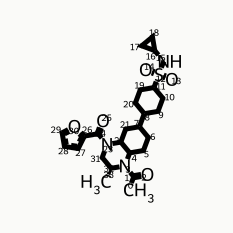 CC(=O)N1C2CCC(C3CCC(S(=O)(=O)NC4CC4)CC3)CC2N(C(=O)c2ccco2)C[C@@H]1C